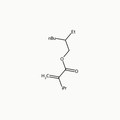 C=C(C(=O)OCC(CC)CCCC)C(C)C